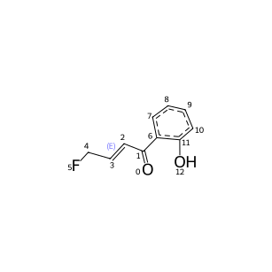 O=C(/C=C/CF)c1ccccc1O